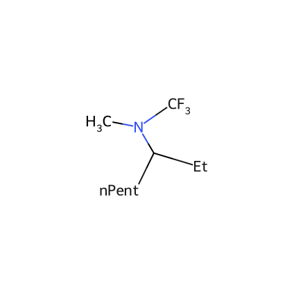 CCCCCC(CC)N(C)C(F)(F)F